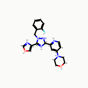 Fc1ccccc1CN1NC(c2cc(N3CCOCC3)ccn2)N=C1c1cocn1